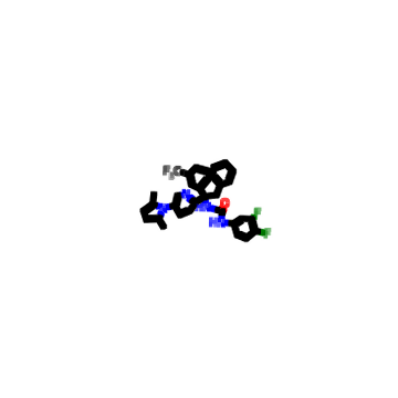 Cc1ccc(C)n1-c1ccc(C(Cc2ccccc2)(NC(=O)Nc2ccc(F)c(F)c2)c2cccc(C(F)(F)F)c2)nc1